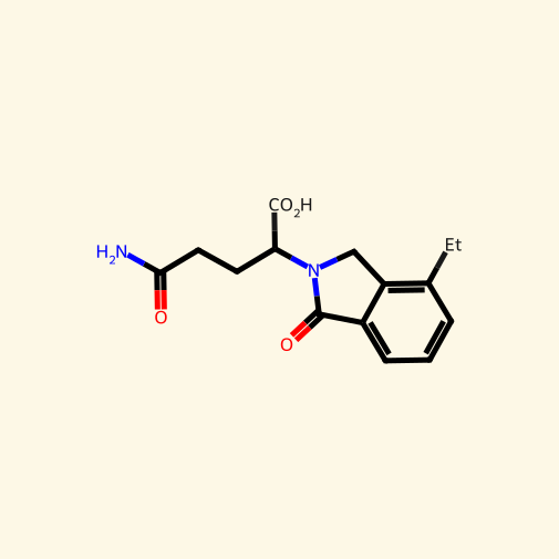 CCc1cccc2c1CN(C(CCC(N)=O)C(=O)O)C2=O